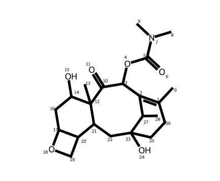 CC1=C2C(OC(=O)N(C)C)C(=O)C3(C)C(O)CC4OCC4C3CC(O)(CC1)C2C